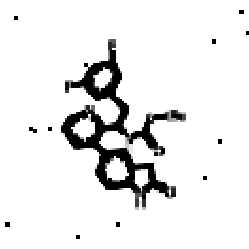 CC(C)(C)OC(=O)NC(Cc1cc(F)cc(F)c1)c1ncccc1-c1ccc2c(c1)CC(=O)N2